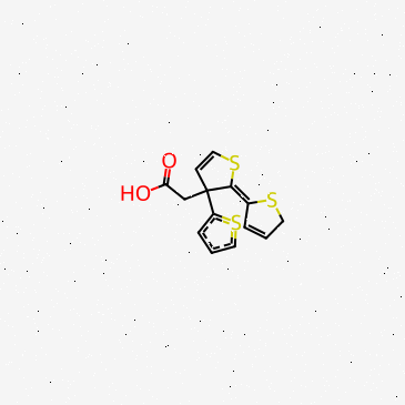 O=C(O)CC1(c2cccs2)C=CSC1=C1C=CCS1